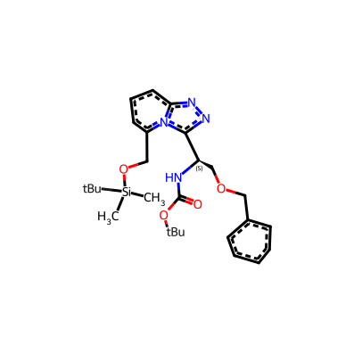 CC(C)(C)OC(=O)N[C@H](COCc1ccccc1)c1nnc2cccc(CO[Si](C)(C)C(C)(C)C)n12